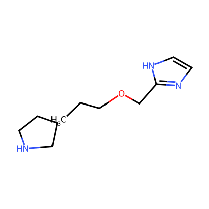 C1CCNC1.CCCOCc1ncc[nH]1